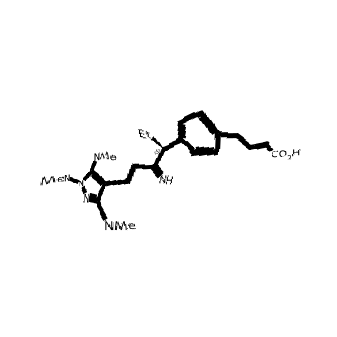 CC[C@H](C(=N)CCc1c(NC)nn(NC)c1NC)c1ccc(CCCC(=O)O)cc1